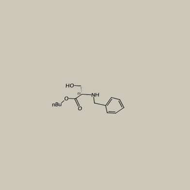 CCCCOC(=O)[C@H](CO)NCc1ccccc1